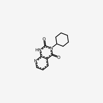 O=c1[nH]c2ncccc2c(=O)n1C1CCCCC1